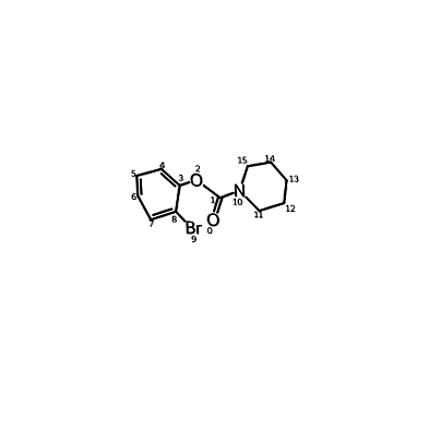 O=C(Oc1ccccc1Br)N1CCCCC1